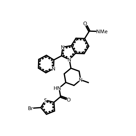 CNC(=O)c1ccc2c(c1)nc(-c1ccccn1)n2C1CC(NC(=O)c2ccc(Br)s2)CN(C)C1